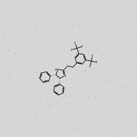 FC(F)(F)c1cc(CSC2=N[C@H](c3ccccc3)[C@H](c3ccccc3)N2)cc(C(F)(F)F)c1